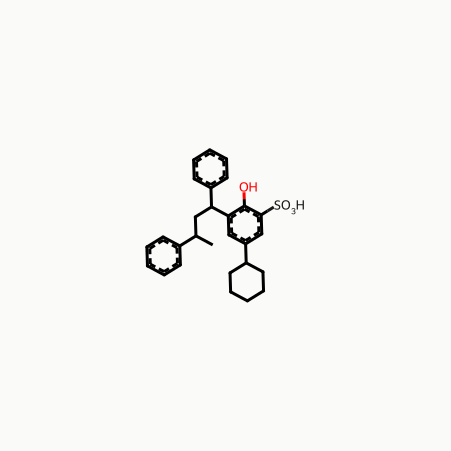 CC(CC(c1ccccc1)c1cc(C2CCCCC2)cc(S(=O)(=O)O)c1O)c1ccccc1